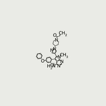 C=CC(=O)N1CCC(n2cc(-c3c(-c4ccc(Oc5ccccc5)cc4Cl)c4c(N)ncnc4n3C)cn2)CC1